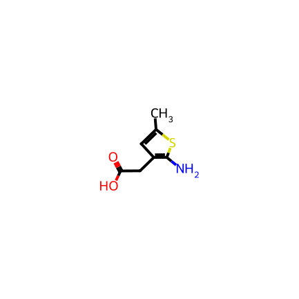 Cc1cc(CC(=O)O)c(N)s1